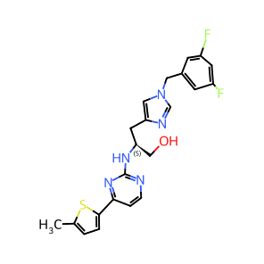 Cc1ccc(-c2ccnc(N[C@H](CO)Cc3cn(Cc4cc(F)cc(F)c4)cn3)n2)s1